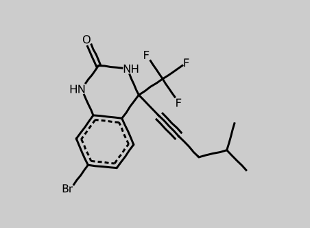 CC(C)CC#CC1(C(F)(F)F)NC(=O)Nc2cc(Br)ccc21